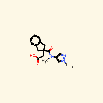 CN(C(=O)C1(CC(=O)O)Cc2ccccc2C1)c1cnn(C)c1